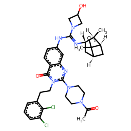 CC(=O)N1CCN(c2nc3cc(NC(=N[C@H]4C[C@@H]5C[C@H]([C@@H]4C)C5(C)C)N4CC(O)C4)ccc3c(=O)n2CCc2cccc(Cl)c2Cl)CC1